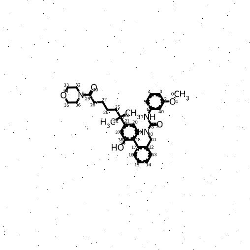 COc1cccc(NC(=O)NCc2ccccc2-c2ccc(C(C)(C)CCCCC(=O)N3CCOCC3)cc2O)c1